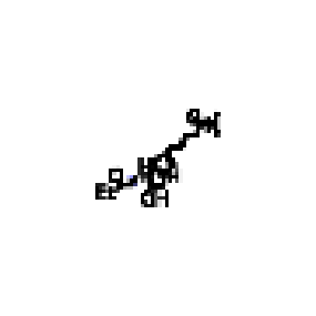 CCC(=O)/C=C/[C@@H]1[C@H]2CC(CCCCC(=O)N(C)C)=C[C@H]2C[C@H]1O